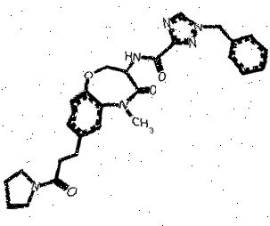 CN1C(=O)[C@H](NC(=O)c2ncn(Cc3ccccc3)n2)COc2ccc(CCC(=O)N3CCCC3)cc21